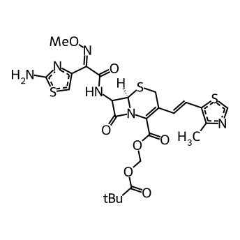 CO/N=C(/C(=O)NC1C(=O)N2C(C(=O)OCOC(=O)C(C)(C)C)=C(/C=C/c3scnc3C)CS[C@H]12)c1csc(N)n1